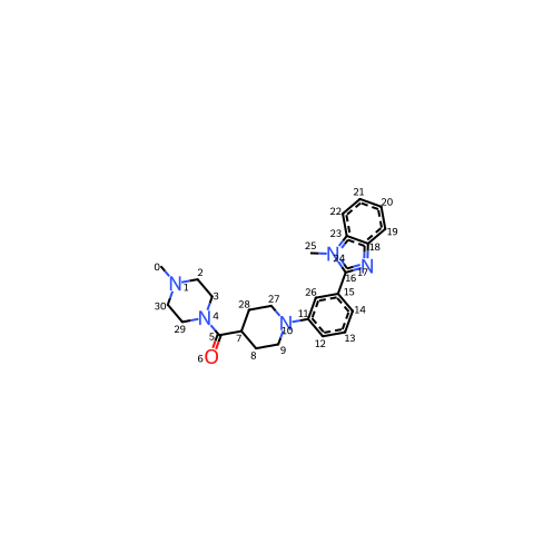 CN1CCN(C(=O)C2CCN(c3cccc(-c4nc5ccccc5n4C)c3)CC2)CC1